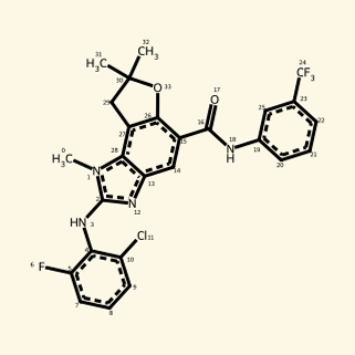 Cn1c(Nc2c(F)cccc2Cl)nc2cc(C(=O)Nc3cccc(C(F)(F)F)c3)c3c(c21)CC(C)(C)O3